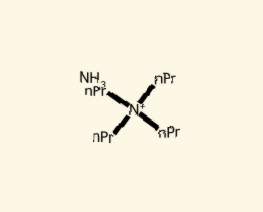 CCC[N+](CCC)(CCC)CCC.N